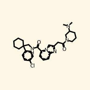 CN(C)C1CCCN(C(=O)Cc2cn3c(C(=O)NCC4(c5ccc(Cl)cc5)CCCCC4)cccc3n2)C1